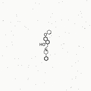 Oc1c(CCN2CCC(c3ccccc3)CC2)ccc2cc(OC3C=CCCC3)ccc12